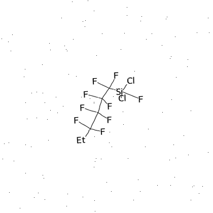 CCC(F)(F)C(F)(F)C(F)(F)C(F)(F)[Si](F)(Cl)Cl